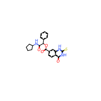 O=C(OC(C(=O)NC1CCCC1)c1ccccc1)c1ccc2c(=O)[nH]c(=S)[nH]c2c1